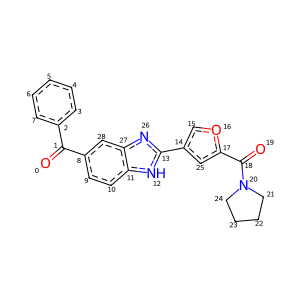 O=C(c1ccccc1)c1ccc2[nH]c(-c3coc(C(=O)N4CCCC4)c3)nc2c1